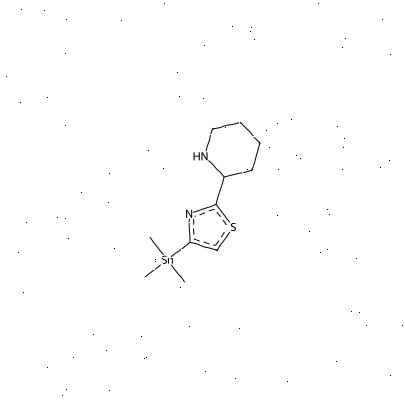 [CH3][Sn]([CH3])([CH3])[c]1csc(C2CCCCN2)n1